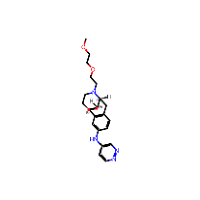 COCCOCCN1CC[C@]23CCCC[C@H]2[C@H]1Cc1ccc(Nc2ccnnc2)cc13